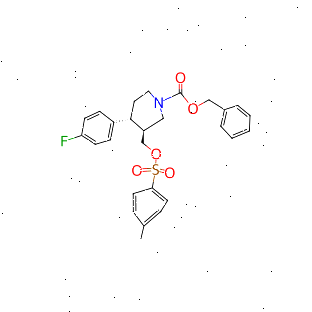 Cc1ccc(S(=O)(=O)OC[C@@H]2CN(C(=O)OCc3ccccc3)CC[C@H]2c2ccc(F)cc2)cc1